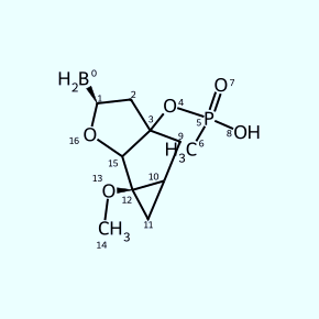 B[C@H]1CC2(OP(C)(=O)O)CC3C[C@]3(OC)C2O1